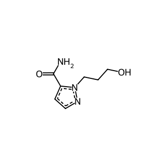 NC(=O)c1ccnn1CCCO